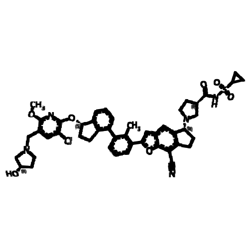 COc1nc(O[C@H]2CCc3c(-c4cccc(-c5cc6cc7c(c(C#N)c6o5)CC[C@H]7N5CC[C@@H](C(=O)NS(=O)(=O)C6CC6)C5)c4C)cccc32)c(Cl)cc1CN1CC[C@@H](O)C1